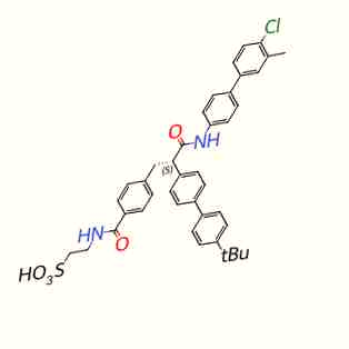 Cc1cc(-c2ccc(NC(=O)[C@@H](Cc3ccc(C(=O)NCCS(=O)(=O)O)cc3)c3ccc(-c4ccc(C(C)(C)C)cc4)cc3)cc2)ccc1Cl